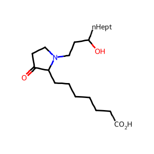 CCCCCCCC(O)CCN1CCC(=O)C1CCCCCCC(=O)O